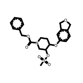 CS(=O)(=O)OC1CN(C(=O)OCc2ccccc2)CCC1Oc1ccc2c(c1)COC2